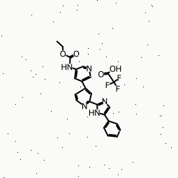 CCOC(=O)Nc1cncc(-c2ccnc(-c3ncc(-c4ccccc4)[nH]3)c2)c1.O=C(O)C(F)(F)F